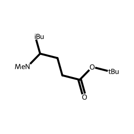 CCC(C)C(CCC(=O)OC(C)(C)C)NC